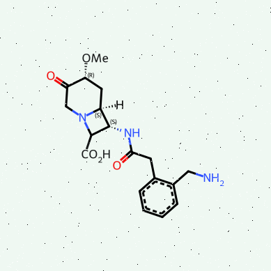 CO[C@@H]1C[C@H]2[C@H](NC(=O)Cc3ccccc3CN)C(C(=O)O)N2CC1=O